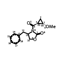 CO[C@H]1C[C@@H]1C(=O)N1C(=O)OCC1Cc1ccccc1